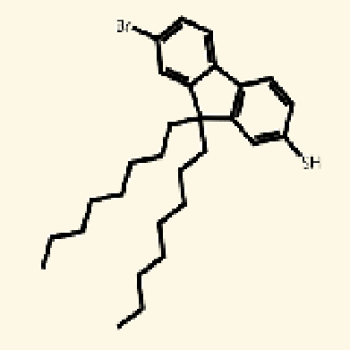 CCCCCCCCC1(CCCCCCCC)c2cc(S)ccc2-c2ccc(Br)cc21